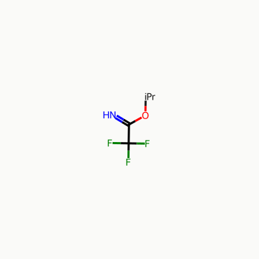 CC(C)OC(=N)C(F)(F)F